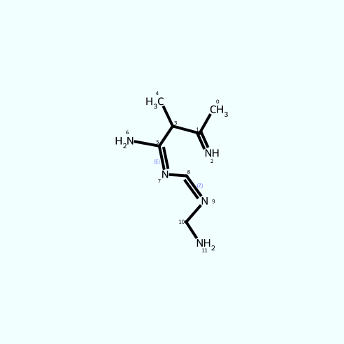 CC(=N)C(C)/C(N)=N\C=N/CN